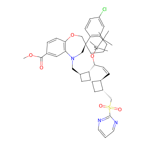 COC(=O)c1ccc2c(c1)N(C[C@@H]1CC[C@H]1C(/C=C\[C@@H]1CC[C@H]1CS(=O)(=O)c1ncccn1)O[Si](C)(C)C(C)(C)C)C[C@@]1(CCCc3cc(Cl)ccc31)CO2